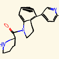 O=C(C1CCCN1)N1CCc2c(-c3cccnc3)cccc21